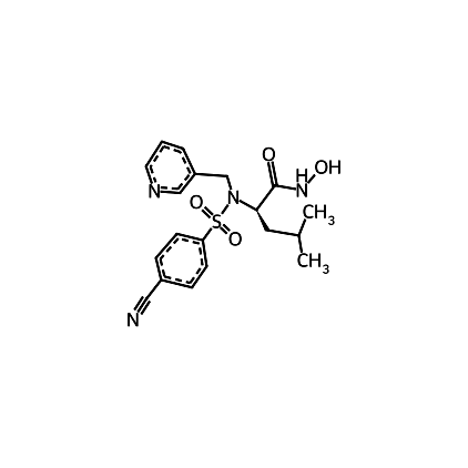 CC(C)C[C@H](C(=O)NO)N(Cc1cccnc1)S(=O)(=O)c1ccc(C#N)cc1